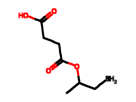 BCC(C)OC(=O)CCC(=O)O